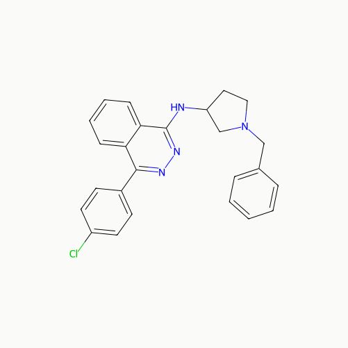 Clc1ccc(-c2nnc(NC3CCN(Cc4ccccc4)C3)c3ccccc23)cc1